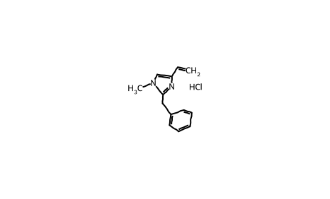 C=Cc1cn(C)c(Cc2ccccc2)n1.Cl